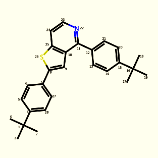 CC(C)(C)c1ccc(-c2cc3c(-c4ccc(C(C)(C)C)cc4)nccc3s2)cc1